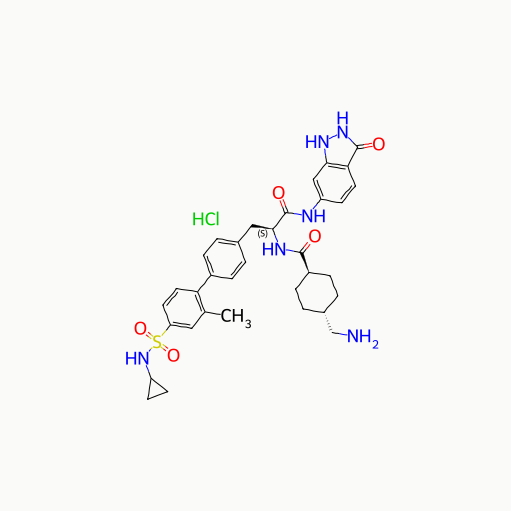 Cc1cc(S(=O)(=O)NC2CC2)ccc1-c1ccc(C[C@H](NC(=O)[C@H]2CC[C@H](CN)CC2)C(=O)Nc2ccc3c(=O)[nH][nH]c3c2)cc1.Cl